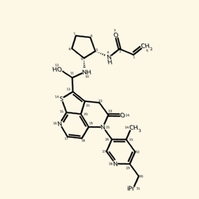 C=CC(=O)N[C@H]1CCC[C@H]1NC(O)c1sc2nccc3c2c1CC(=O)N3c1cnc(CC(C)C)cc1C